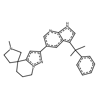 CN1CCC2(CCCn3nc(-c4cnc5[nH]cc(C(C)(C)c6ccccc6)c5c4)cc32)C1